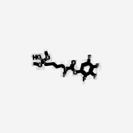 CO[Si](O)(CCCCN(F)C(=O)Oc1cc(F)c(F)c(F)c1F)OC